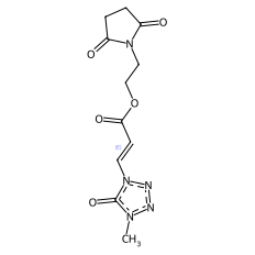 Cn1nnn(/C=C/C(=O)OCCN2C(=O)CCC2=O)c1=O